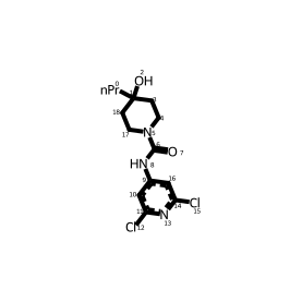 CCCC1(O)CCN(C(=O)Nc2cc(Cl)nc(Cl)c2)CC1